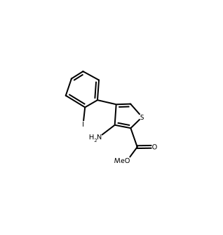 COC(=O)c1scc(-c2ccccc2I)c1N